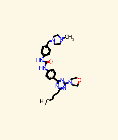 CCCCc1nc(-c2ccc(NC(=O)Nc3ccc(CN4CCN(C)CC4)cc3)cc2)nc(N2CCOCC2)n1